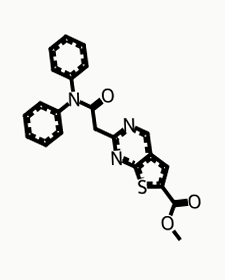 COC(=O)c1cc2cnc(CC(=O)N(c3ccccc3)c3ccccc3)nc2s1